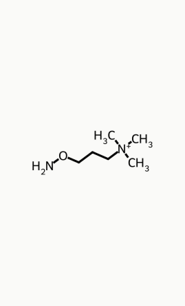 C[N+](C)(C)CCCON